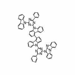 c1ccc(-c2nc(-n3c4ccccc4c4ccccc43)nc(-n3c4ccccc4c4c(-c5cccc6c5c5ccccc5n6-c5nc(-c6ccccc6)nc(-n6c7ccccc7n7c8ccccc8nc67)n5)cccc43)n2)cc1